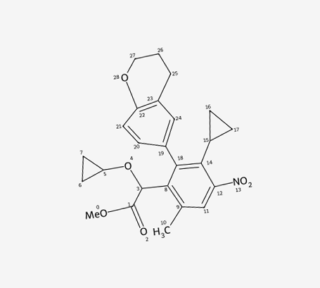 COC(=O)C(OC1CC1)c1c(C)cc([N+](=O)[O-])c(C2CC2)c1-c1ccc2c(c1)CCCO2